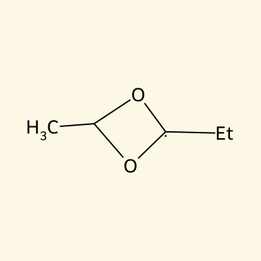 CC[C]1OC(C)O1